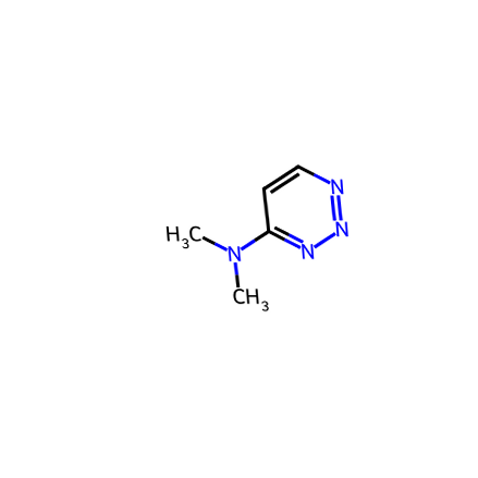 CN(C)c1ccnnn1